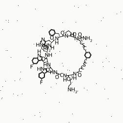 NCCCC[C@@H]1NC(=O)CCSCc2cccc(c2)CSC[C@@H](C(N)=O)NC(=O)[C@@H]2CCCN2C(=O)[C@H](Cc2ccccc2)NC(=O)[C@H](Cc2c[nH]cn2)NC(=O)[C@H](CC(=O)O)NC(=O)[C@H](Cc2c[nH]c3ccc(F)cc23)NC(=O)[C@H](Cc2c[nH]c3ccc(F)cc23)NC(=O)CNC1=O